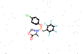 CCC(C)OC(=O)C(C)NP(Cc1c(F)c(F)c(F)c(F)c1F)Oc1ccc(Cl)cc1